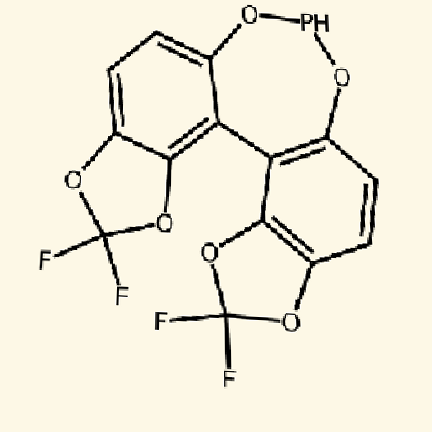 FC1(F)Oc2ccc3o[pH]oc4ccc5c(c4c3c2O1)OC(F)(F)O5